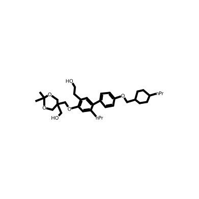 CCCc1cc(OCC2(CO)COC(C)(C)OC2)c(CCO)cc1-c1ccc(OCC2CCC(CCC)CC2)cc1